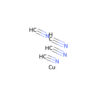 C#N.C#N.C#N.C#N.[Cu]